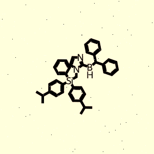 CC(C)c1ccc([Si](Cn2ccnc2BC(c2ccccc2)c2ccccc2)(c2ccccc2)c2ccc(C(C)C)cc2)cc1